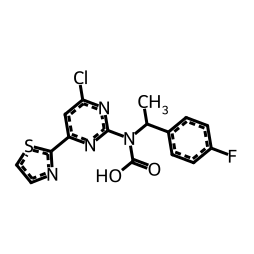 CC(c1ccc(F)cc1)N(C(=O)O)c1nc(Cl)cc(-c2nccs2)n1